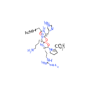 CC(=O)NCC(=O)N[C@@H](Cc1c[nH]cn1)C(=O)N[C@@H](CCCCN)C(=O)N[C@@H](CCCNC(=N)N)C(=O)N1CCC[C@H]1C(=O)O